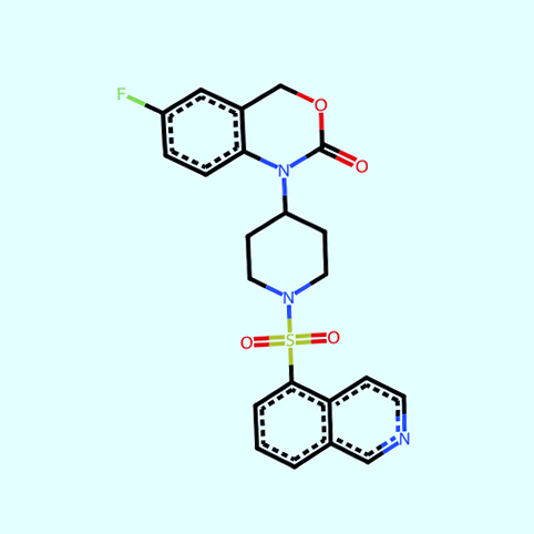 O=C1OCc2cc(F)ccc2N1C1CCN(S(=O)(=O)c2cccc3cnccc23)CC1